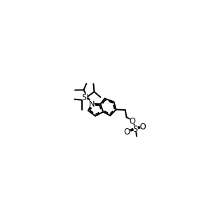 CC(C)[Si](C(C)C)(C(C)C)n1ccc2cc(CCOS(C)(=O)=O)ccc21